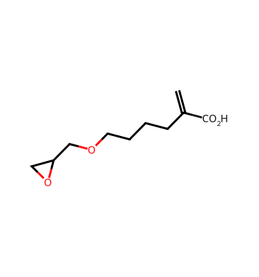 C=C(CCCCOCC1CO1)C(=O)O